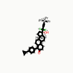 CC(C)[Si](C#CC(F)(F)[C@]1(O)CC[C@H]2[C@@H]3CCC4=C(c5ccc(C6CC6)cc5)C(=O)CCC4=C3CC[C@@]21C)(C(C)C)C(C)C